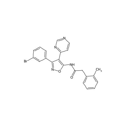 Cc1ccccc1CC(=O)Nc1onc(-c2cccc(Br)c2)c1-c1ccncn1